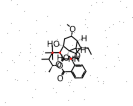 CC[C@H]1C(C)[C@]2(O)[C@@H](OC)[C@H]1[C@H](OC)C[C@]2(O)CCC(C)[C@H](C)OC(=O)c1ccccc1NC(=O)CC(C)(C)C